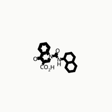 O=C(O)c1cn(C(=O)NC2CCCC3CCCCC32)c2ccccc2c1=O